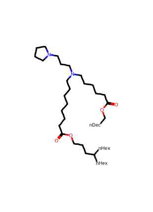 CCCCCCCCCCCOC(=O)CCCCCN(CCCCCCCC(=O)OCCCC(CCCCCC)CCCCCC)CCCN1CCCC1